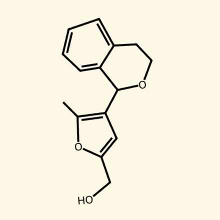 Cc1oc(CO)cc1C1OCCc2ccccc21